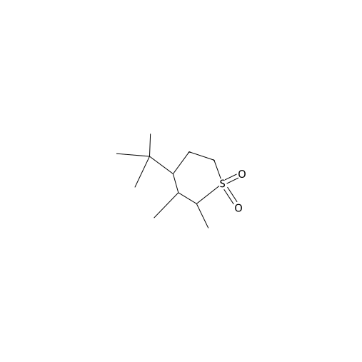 CC1C(C(C)(C)C)CCS(=O)(=O)C1C